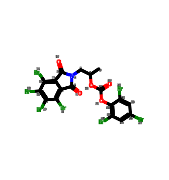 CC(CN1C(=O)c2c(Br)c(Br)c(Br)c(Br)c2C1=O)OC(=O)Oc1c(Br)cc(Br)cc1Br